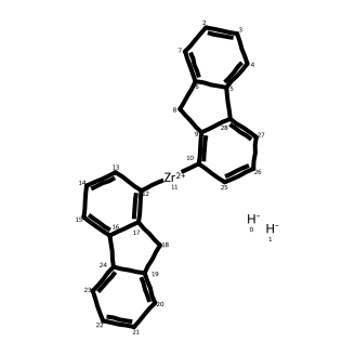 [H-].[H-].c1ccc2c(c1)Cc1[c]([Zr+2][c]3cccc4c3Cc3ccccc3-4)cccc1-2